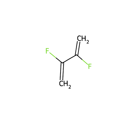 C=C(F)C(=C)F